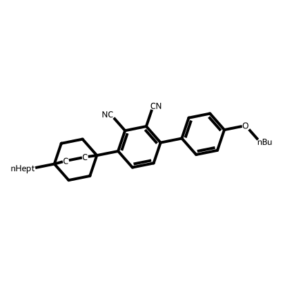 CCCCCCCC12CCC(c3ccc(-c4ccc(OCCCC)cc4)c(C#N)c3C#N)(CC1)CC2